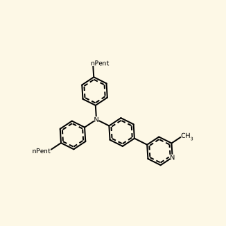 CCCCCc1ccc(N(c2ccc(CCCCC)cc2)c2ccc(-c3ccnc(C)c3)cc2)cc1